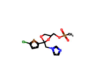 CS(=O)(=O)OCC1COC(Cn2ccnc2)(c2ccc(Cl)s2)O1